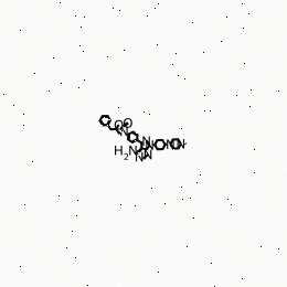 CN1CCN(C2CCC(n3nc(-c4ccc(N5CC(Cc6ccccc6)OC5=O)cc4)c4c(N)ncnc43)CC2)CC1